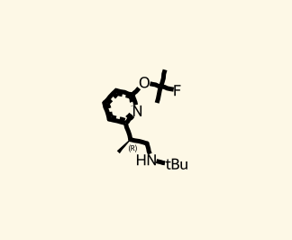 C[C@H](CNC(C)(C)C)c1cccc(OC(C)(C)F)n1